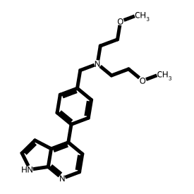 COCCN(CCOC)Cc1ccc(-c2ccnc3[nH]ccc23)cc1